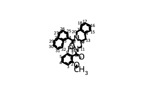 COc1ccccc1C(=O)NC[C@@H]1Cc2ccccc2CN1C(=O)c1cccc2ccccc12